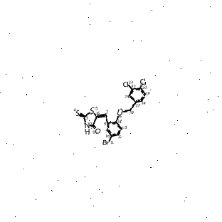 O=C1NC(=S)SC1=Cc1cc(Br)ccc1OCc1ccc(Cl)c(Cl)c1